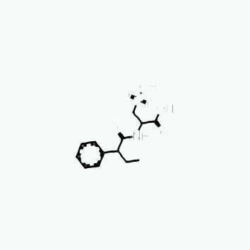 CCC(C(=O)NC(CS(=O)(=O)O)C(=O)O)c1ccccc1